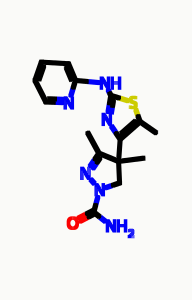 CC1=NN(C(N)=O)CC1(C)c1nc(Nc2ccccn2)sc1C